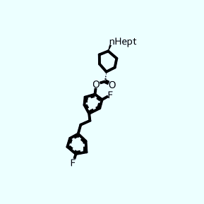 CCCCCCC[C@H]1CC[C@H](C(=O)Oc2ccc(CCc3ccc(F)cc3)cc2F)CC1